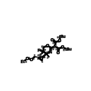 CCOOC[C@H]1C[C@@H]1[C@@]1(C)N=C(N(C(=O)OC(C)(C)C)C(=O)OC(C)(C)C)OCC1(F)F